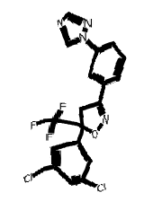 FC(F)(F)C1(c2cc(Cl)cc(Cl)c2)CC(c2cccc(-n3cncn3)c2)=NO1